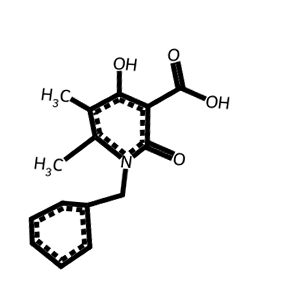 Cc1c(O)c(C(=O)O)c(=O)n(Cc2ccccc2)c1C